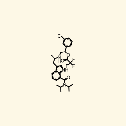 CC(C)N(C(=O)c1cccc2c(C[C@@H](C)NC[C@H](OC(=O)C(F)(F)F)c3cccc(Cl)c3)c[nH]c12)C(C)C